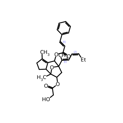 CC/C=C\C=C(/C)C12CC(OC(=O)CO)C(C)(O1)C1CCC(C)=C1C2OC(=O)/C=C/c1ccccc1